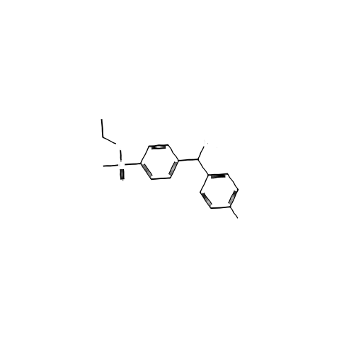 CCOP(C)(=O)c1ccc(C(N)c2ccc(F)cc2)cc1